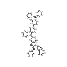 c1ccc(-n2c3ccccc3c3cc(-c4ccc5c(c4)c4ccccc4n5-c4ccc5c(c4)nc4n(-c6ccccc6)c6c7ccccc7oc6n54)ccc32)cc1